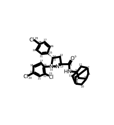 O=C(NC12CC3CC(CC(C3)C1)C2)C1=NN(c2ccc(Cl)cc2Cl)[C@H](c2ccc(Cl)cc2)C1